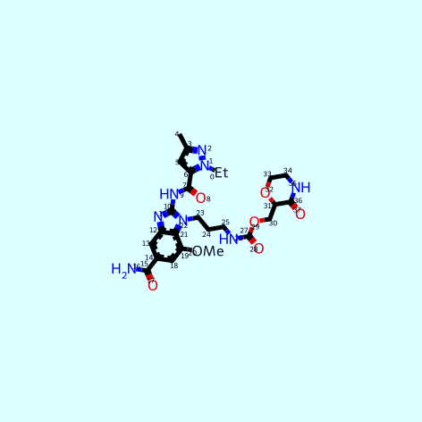 CCn1nc(C)cc1C(=O)Nc1nc2cc(C(N)=O)cc(OC)c2n1CCCNC(=O)OCC1OCCNC1=O